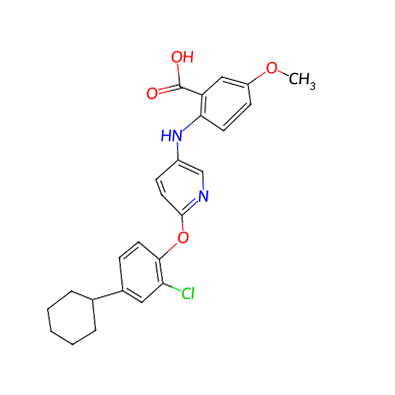 COc1ccc(Nc2ccc(Oc3ccc(C4CCCCC4)cc3Cl)nc2)c(C(=O)O)c1